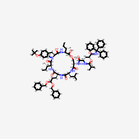 CC[C@H](C)[C@@H]1NC(=O)[C@H](Cc2ccc(OC(C)(C)C)cc2)N(C)C(=O)[C@H]([C@@H](C)CC)NC(=O)[C@H](CCC(OCc2ccccc2)OCc2ccccc2)NC(=O)[C@H](CC(C)C)NC(=O)[C@@H](NC(=O)[C@H](CCC(=O)NC(c2ccccc2)(c2ccccc2)c2ccccc2)NC(=O)C(C)C)[C@@H](C)OC1=O